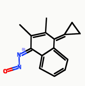 CC1=C(C)/C(=N/N=O)c2ccccc2C1=C1CC1